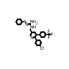 N/C(=N\Sc1ccccc1)NCc1cnc(-c2ccc(Cl)cc2)c(-c2ccc(C(F)(F)F)cc2)c1